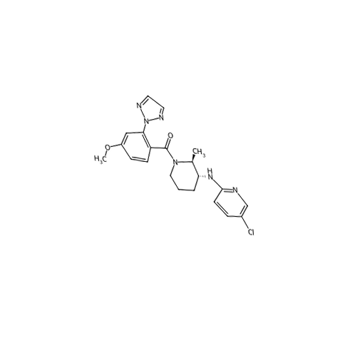 COc1ccc(C(=O)N2CCC[C@@H](Nc3ccc(Cl)cn3)[C@@H]2C)c(-n2nccn2)c1